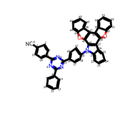 N#Cc1ccc(-c2nc(-c3ccccc3)nc(-c3ccc(-n4c5ccccc5c5c6oc7ccccc7c6c6c7ccccc7oc6c54)cc3)n2)cc1